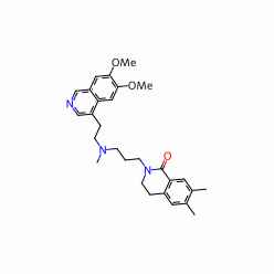 COc1cc2cncc(CCN(C)CCCN3CCc4cc(C)c(C)cc4C3=O)c2cc1OC